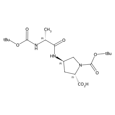 C[C@@H](NC(=O)OC(C)(C)C)C(=O)N[C@@H]1C[C@@H](C(=O)O)N(C(=O)OC(C)(C)C)C1